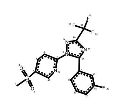 CS(=O)(=O)c1ccc(-n2nc(C(F)(F)F)nc2-c2cccc(F)c2)nc1